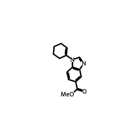 COC(=O)c1ccc2c(c1)ncn2C1=CCCCC1